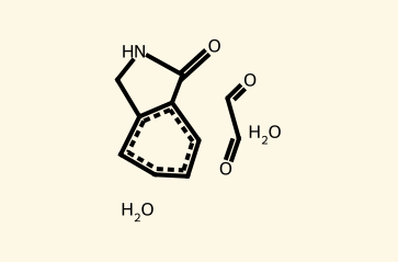 O.O.O=C1NCc2ccccc21.O=CC=O